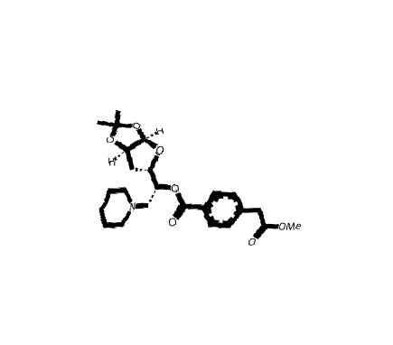 COC(=O)Cc1ccc(C(=O)O[C@H](CN2CCCCC2)[C@@H]2C[C@H]3OC(C)(C)O[C@H]3O2)cc1